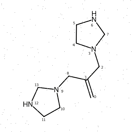 C=C(CN1CCNC1)CN1CCNC1